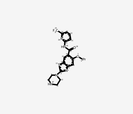 CC(C)Oc1cc2nc(N3CCNCC3)sc2cc1C(=O)Nc1cccc(C(F)(F)F)n1